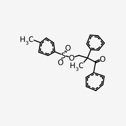 Cc1ccc(S(=O)(=O)OCC(C)(C(=O)c2ccccc2)c2ccccc2)cc1